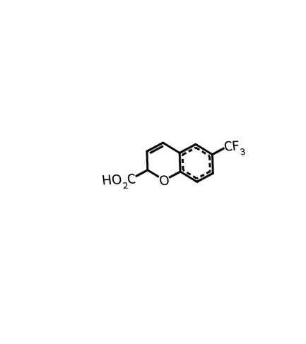 O=C(O)C1C=Cc2cc(C(F)(F)F)ccc2O1